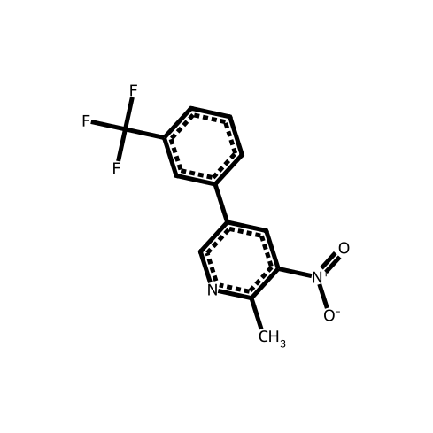 Cc1ncc(-c2cccc(C(F)(F)F)c2)cc1[N+](=O)[O-]